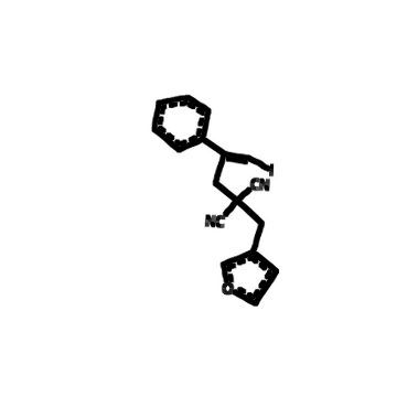 N#CC(C#N)(CC(=CI)c1ccccc1)Cc1ccoc1